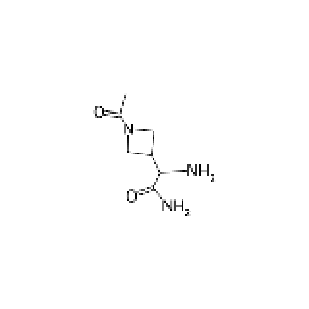 CC(=O)N1CC(C(N)C(N)=O)C1